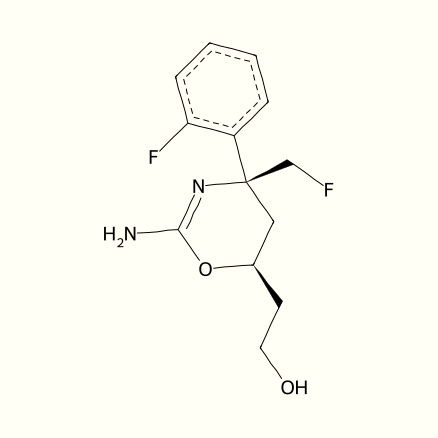 NC1=N[C@](CF)(c2ccccc2F)C[C@@H](CCO)O1